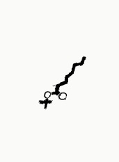 CCCCCC[CH]C(=O)OC(C)(C)C